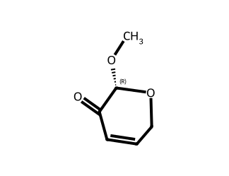 CO[C@@H]1OCC=CC1=O